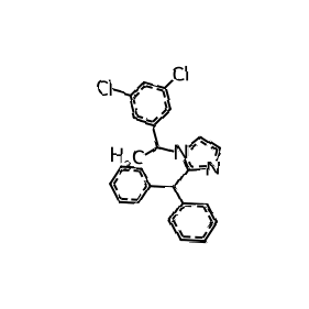 CC(c1cc(Cl)cc(Cl)c1)n1ccnc1C(c1ccccc1)c1ccccc1